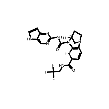 O=C(NCC(F)(F)F)C1C=CC2=C(N1)N(C(=O)Nc1ncc3[nH]ccc3n1)[C@H]1CCN2C1